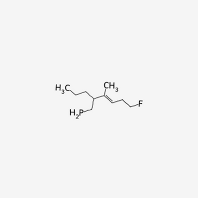 CCCC(CP)/C(C)=C/CCF